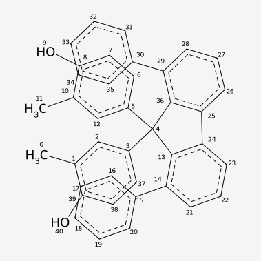 Cc1cc(C2(c3ccc(O)c(C)c3)c3c(-c4ccccc4)cccc3-c3cccc(-c4ccccc4)c32)ccc1O